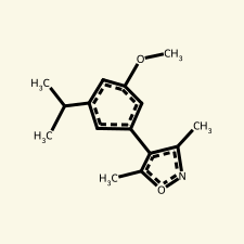 COc1cc(-c2c(C)noc2C)cc(C(C)C)c1